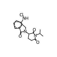 CC(C)N1C(=O)CCC(N2Cc3c(NCl)cccc3C2=O)C1=O